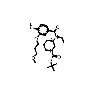 CCN(C(=O)c1ccc(OC)c(OCCCOC)c1)[C@@H]1CCCN(C(=O)OC(C)(C)C)C1